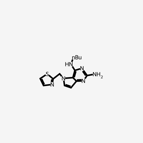 CCCCNc1nc(N)nc2ccn(Cc3nccs3)c12